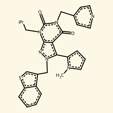 CC(C)Cn1c(=O)n(Cc2ccncc2)c(=O)c2c(-c3cccn3C)n(Cc3csc4ccccc34)nc21